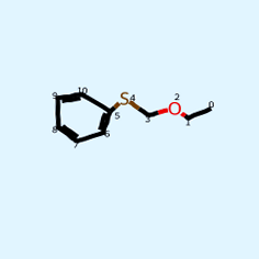 CCO[CH]Sc1ccccc1